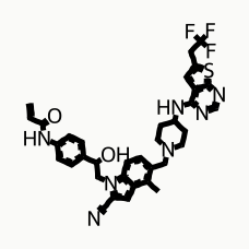 C=CC(=O)Nc1ccc(C(O)Cn2c(C#N)cc3c(C)c(CN4CCC(Nc5ncnc6sc(CC(F)(F)F)cc56)CC4)ccc32)cc1